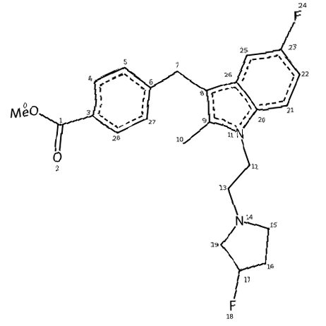 COC(=O)c1ccc(Cc2c(C)n(CCN3CCC(F)C3)c3ccc(F)cc23)cc1